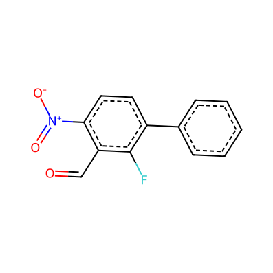 O=Cc1c([N+](=O)[O-])ccc(-c2ccccc2)c1F